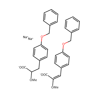 COC(=Cc1ccc(OCc2ccccc2)cc1)C(=O)[O-].COC(Cc1ccc(OCc2ccccc2)cc1)C(=O)[O-].[Na+].[Na+]